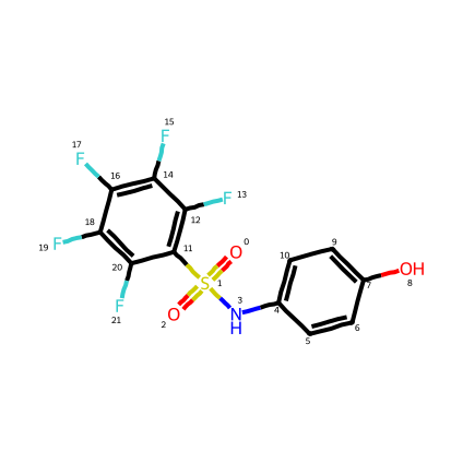 O=S(=O)(Nc1ccc(O)cc1)c1c(F)c(F)c(F)c(F)c1F